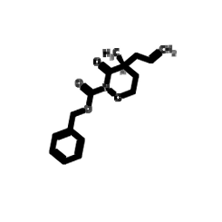 C=CC[C@]1(C)CCON(C(=O)OCc2ccccc2)C1=O